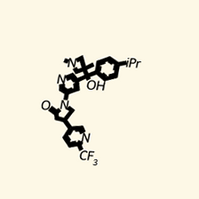 CC(C)c1ccc(C(O)(c2cncc(N3CC(c4ccc(C(F)(F)F)nc4)CC3=O)c2)C2(C)CN(C)C2)cc1